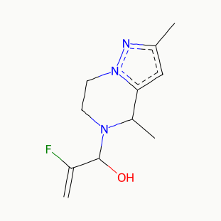 C=C(F)C(O)N1CCn2nc(C)cc2C1C